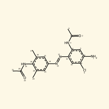 CC(=O)Nc1cc(N)c(Cl)cc1/N=N/c1cc(C)c(NC(C)=O)c(C)c1